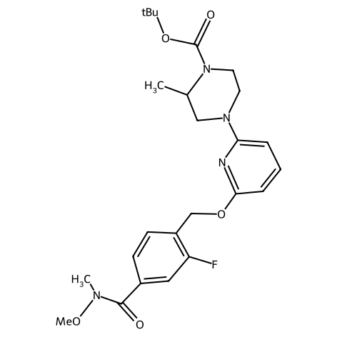 CON(C)C(=O)c1ccc(COc2cccc(N3CCN(C(=O)OC(C)(C)C)C(C)C3)n2)c(F)c1